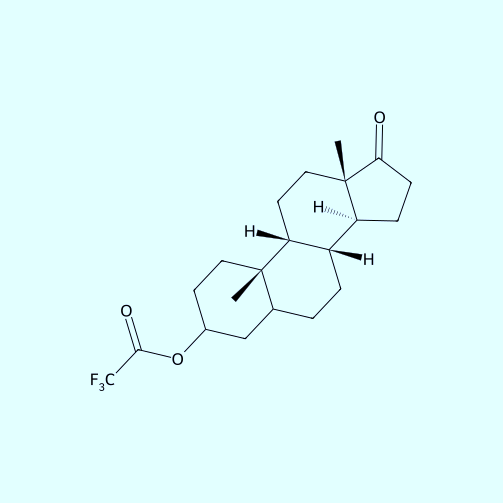 C[C@]12CCC(OC(=O)C(F)(F)F)CC1CC[C@@H]1[C@H]2CC[C@]2(C)C(=O)CC[C@@H]12